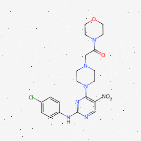 O=C(CN1CCN(c2nc(Nc3ccc(Cl)cc3)ncc2[N+](=O)[O-])CC1)N1CCOCC1